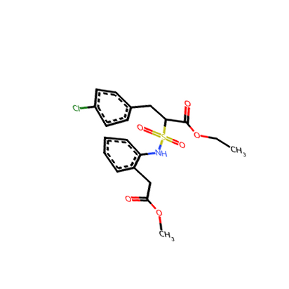 CCOC(=O)C(Cc1ccc(Cl)cc1)S(=O)(=O)Nc1ccccc1CC(=O)OC